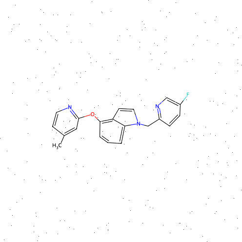 Cc1ccnc(Oc2cccc3c2ccn3Cc2ccc(F)cn2)c1